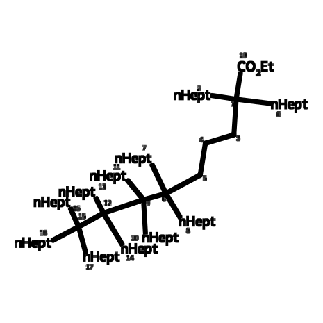 CCCCCCCC(CCCCCCC)(CCCC(CCCCCCC)(CCCCCCC)C(CCCCCCC)(CCCCCCC)C(CCCCCCC)(CCCCCCC)C(CCCCCCC)(CCCCCCC)CCCCCCC)C(=O)OCC